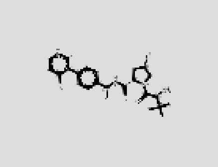 C[C@H](NC(=O)[C@@H]1C[C@@H](O)CN1C(=O)[C@@H](N)C(C)(C)C)c1ccc(-c2cnccc2Cl)cc1